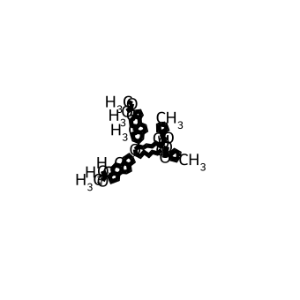 COC(=O)[C@H]1CCC2C3CC=C4C[C@@H](C(CCCCCOS(=O)(=O)c5ccc(C)cc5)OC(CCCCCOS(=O)(=O)c5ccc(C)cc5)[C@H]5CC[C@@]6(C)C(=CCC7C6CC[C@@]6(C)C7CC[C@@H]6C(=O)OC)C5)CC[C@]4(C)C3CC[C@@]21C